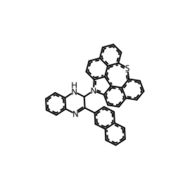 c1ccc2c(c1)N=C(c1ccc3ccccc3c1)C(n1c3ccc4cccc5sc6cccc7ccc1c(c76)c3c45)N2